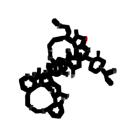 C=CC(=O)N1CCN(c2nc(=O)n3c4nc(c(F)cc24)-c2c(F)cc(CC(C)c4nccc5c4-n4c(=O)nc(N6CCN(C(=O)C=C)C[C@@H]6C)c6cc(F)c(nc64)-c4c(F)cccc4OCC/C=C\5)cc2OCC\C=C/C(/C=C\N=C)=C\3C(C)C)[C@@H](C)C1